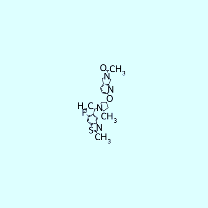 CC(=O)N1Cc2ccc(O[C@@H]3C[C@H](C)N(C(C)c4cc5nc(C)sc5cc4F)C3)nc2C1